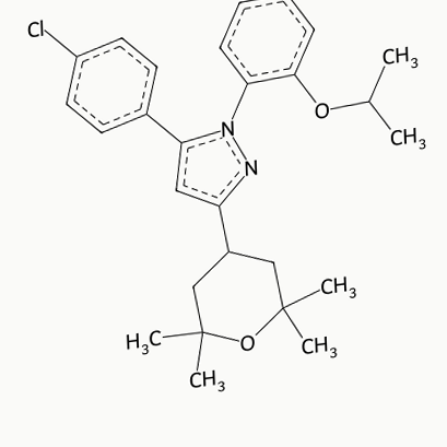 CC(C)Oc1ccccc1-n1nc(C2CC(C)(C)OC(C)(C)C2)cc1-c1ccc(Cl)cc1